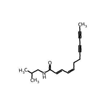 CC#CC#CCC/C=C\C=C\C(=O)NCC(C)C